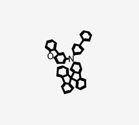 c1ccc(-c2ccc(N(c3ccc4c(c3)C3(c5ccccc5-c5ccccc53)c3ccccc3-4)c3ccc4oc5ccccc5c4c3)cc2)cc1